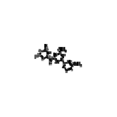 Nc1cccc(-c2nc(N)nc(Nc3cc(F)cc(F)c3)n2)n1